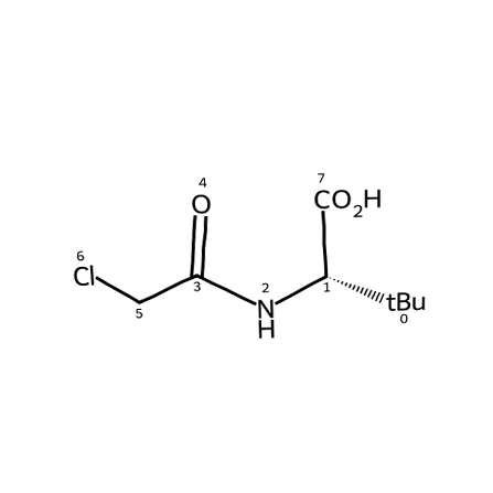 CC(C)(C)[C@H](NC(=O)CCl)C(=O)O